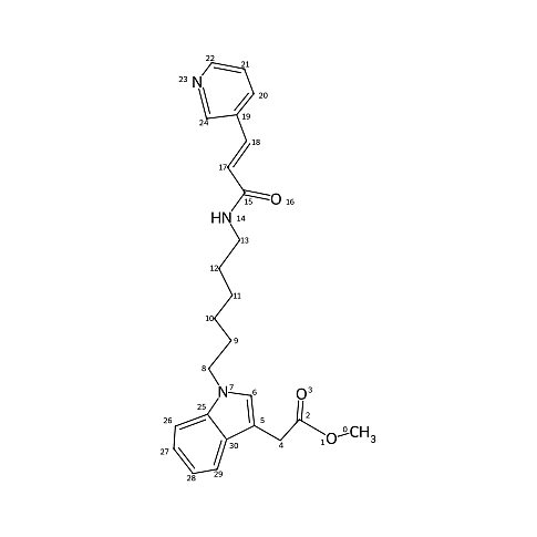 COC(=O)Cc1cn(CCCCCCNC(=O)/C=C/c2cccnc2)c2ccccc12